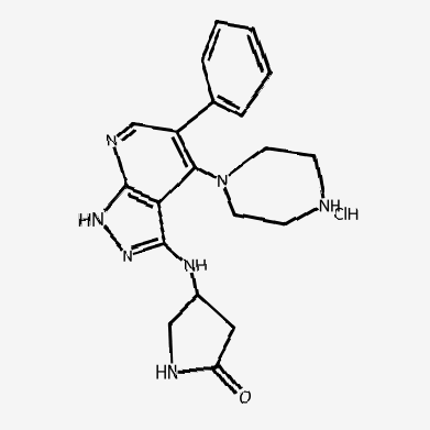 Cl.O=C1CC(Nc2n[nH]c3ncc(-c4ccccc4)c(N4CCNCC4)c23)CN1